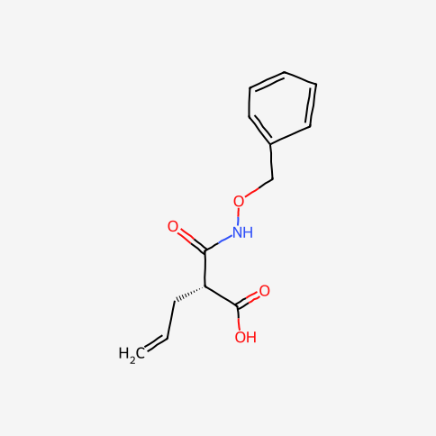 C=CC[C@@H](C(=O)O)C(=O)NOCc1ccccc1